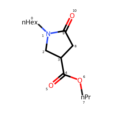 CCCCCCN1CC(C(=O)OCCC)CC1=O